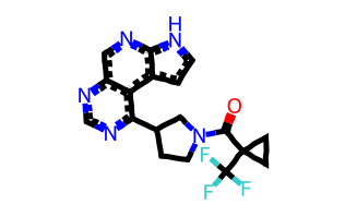 O=C(N1CCC(c2ncnc3cnc4[nH]ccc4c23)C1)C1(C(F)(F)F)CC1